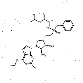 CCOc1nc(N)nc2c1ncn2[C@@H]1O[C@H](COP(=O)(N[C@@H](C)C(=O)OC(C)C)Oc2ccccc2)[C@@H](O)[C@H]1N